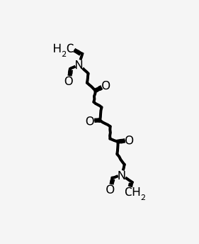 C=CN(C=O)CCC(=O)CCC(=O)CCC(=O)CCN(C=C)C=O